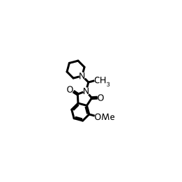 COc1cccc2c1C(=O)N(C(C)N1CCCCC1)C2=O